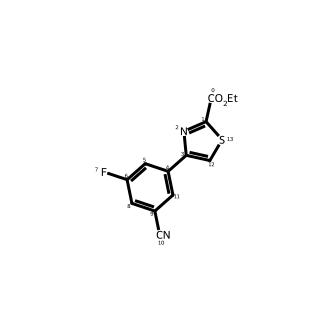 CCOC(=O)c1nc(-c2cc(F)cc(C#N)c2)cs1